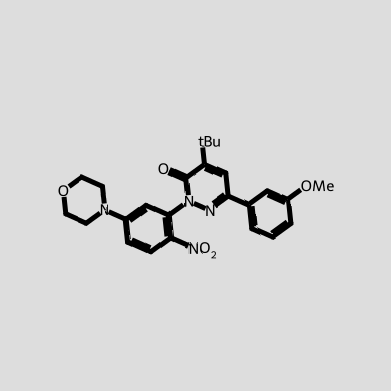 COc1cccc(-c2cc(C(C)(C)C)c(=O)n(-c3cc(N4CCOCC4)ccc3[N+](=O)[O-])n2)c1